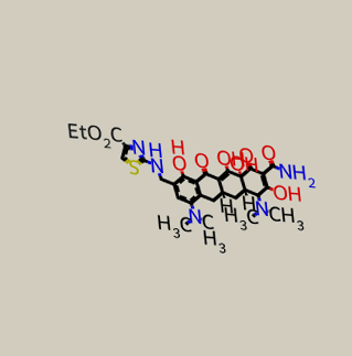 CCOC(=O)c1csc(NCc2cc(N(C)C)c3c(c2O)C(=O)C2=C(O)[C@]4(O)C(=O)C(C(N)=O)=C(O)C(N(C)C)[C@@H]4C[C@@H]2C3)n1